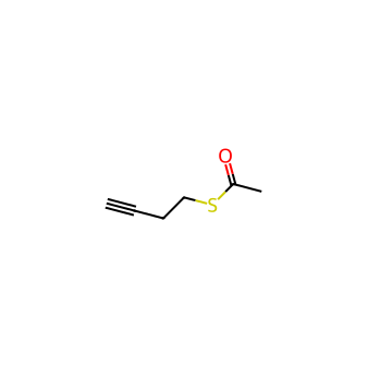 C#CCCSC(C)=O